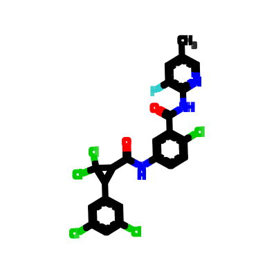 Cc1cnc(NC(=O)c2cc(NC(=O)C3C(c4cc(Cl)cc(Cl)c4)C3(Cl)Cl)ccc2Cl)c(F)c1